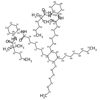 CCCCCCCCC1CC(CCCCCCC(=O)N[C@H]2CCCC[C@H]2NC(=O)C(C)(C)CCCC)C(CCCCCCC(=O)N[C@@H]2CCCC[C@@H]2NC(=O)C(C)(C)CCCC)CC1CCCCCCCC